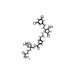 NC(=O)CCCC(CO)(CO)COC(=O)c1ccc(CCC[C@@H]2[C@@H](CCc3cc(Cl)cc(Cl)c3)[C@H](O)C[C@H]2Cl)s1